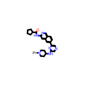 CC(C)N1CCC(Nc2cncc(-c3ccc4cnc(NC(=O)C5CCCC5)cc4c3)n2)CC1